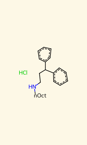 CCCCCCCCNCCC(c1ccccc1)c1ccccc1.Cl